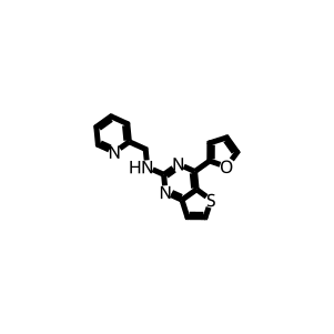 c1ccc(CNc2nc(-c3ccco3)c3sccc3n2)nc1